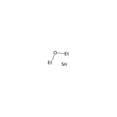 CCOCC.[Sn]